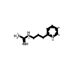 N=C(N)NCCCc1ccccn1